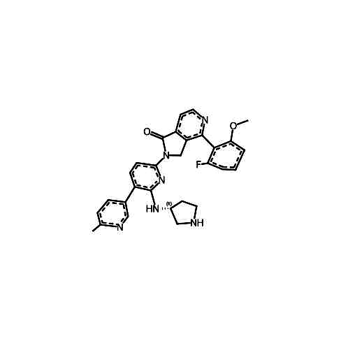 COc1cccc(F)c1-c1nccc2c1CN(c1ccc(-c3ccc(C)nc3)c(N[C@@H]3CCNC3)n1)C2=O